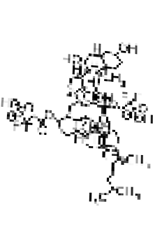 CC(C)CCC[C@@H](C)[C@H]1CC[C@H]2[C@@H]3CC=C4C(C[C@H](CCC(=O)OCC(F)(F)S(=O)(=O)O)[C@H]5CC[C@H]6[C@@H]7C(O)C[C@@H]8CC(O)CC[C@]8(C)[C@H]7CC(O)[C@]56C)C(OC(=O)CC(F)(F)S(=O)(=O)O)CC[C@]4(C)[C@H]3CC[C@]12C